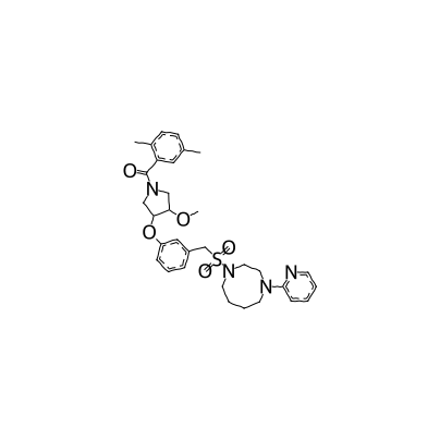 COC1CN(C(=O)c2cc(C)ccc2C)CC1Oc1cccc(CS(=O)(=O)N2CCCCN(c3ccccn3)CC2)c1